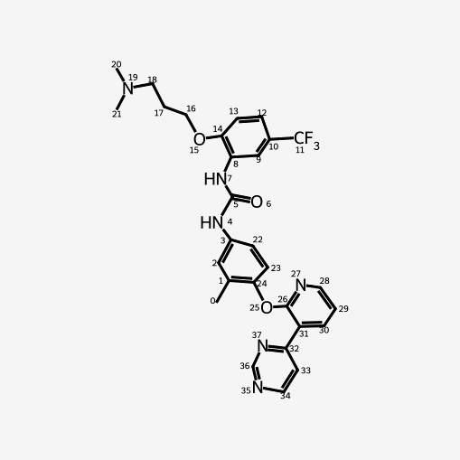 Cc1cc(NC(=O)Nc2cc(C(F)(F)F)ccc2OCCCN(C)C)ccc1Oc1ncccc1-c1ccncn1